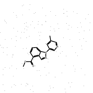 COC(=O)c1cccc2c1cnn2-c1cncc(C)c1